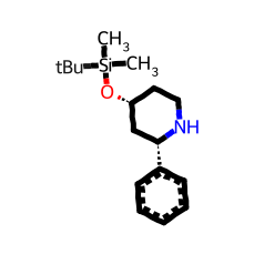 CC(C)(C)[Si](C)(C)O[C@@H]1CCN[C@H](c2ccccc2)C1